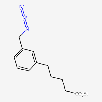 CCOC(=O)CCCCc1cccc(CN=[N+]=[N-])c1